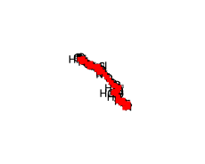 Cc1ncsc1-c1ccc([C@H](CNC(=O)[C@H]2C[C@@H](O)CN2C(=O)[C@@H](NC(=O)COCCCOCCCCCOc2c(Cl)cc(C(C)(C)c3ccc(OCc4cnc(NS(C)(=O)=O)nc4)cc3)cc2C#N)C(C)(C)C)N(C)C)cc1